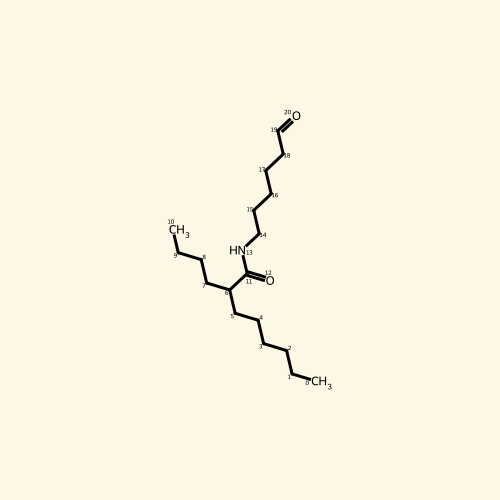 CCCCCCC(CCCC)C(=O)NCCCCCC=O